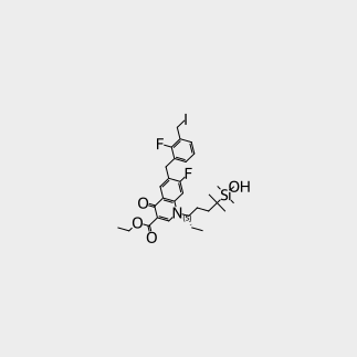 CCOC(=O)c1cn([C@@H](CC)CCC(C)(C)[Si](C)(C)O)c2cc(F)c(Cc3cccc(CI)c3F)cc2c1=O